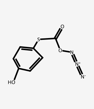 [N-]=[N+]=NOC(=O)Sc1ccc(O)cc1